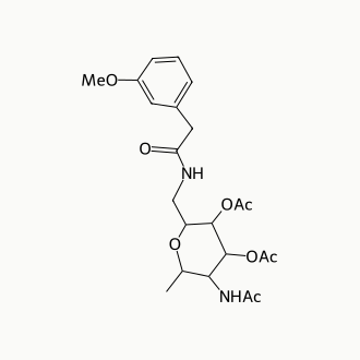 COc1cccc(CC(=O)NCC2OC(C)C(NC(C)=O)C(OC(C)=O)C2OC(C)=O)c1